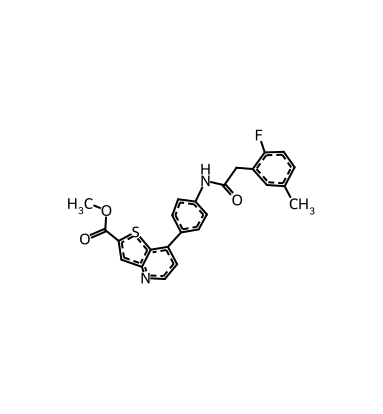 COC(=O)c1cc2nccc(-c3ccc(NC(=O)Cc4cc(C)ccc4F)cc3)c2s1